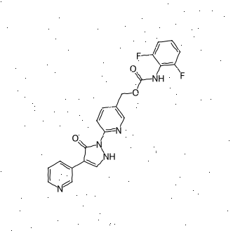 O=C(Nc1c(F)cccc1F)OCc1ccc(-n2[nH]cc(-c3cccnc3)c2=O)nc1